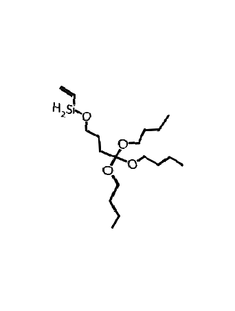 C=C[SiH2]OCCCC(OCCCC)(OCCCC)OCCCC